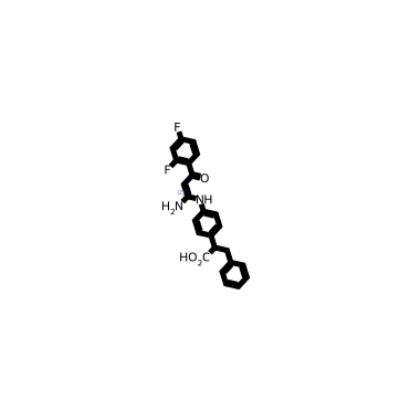 N/C(=C/C(=O)c1ccc(F)cc1F)Nc1ccc(C(Cc2ccccc2)C(=O)O)cc1